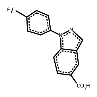 O=C(O)c1ccc2c(cnn2-c2ccc(C(F)(F)F)cc2)c1